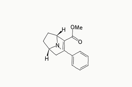 COC(=O)C1=C(c2ccccc2)C[C@@H]2CC[C@H]1N2C